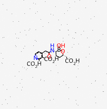 O=C(O)C[C@@H]1CC[C@H](NC(=O)Cc2ccnc(C(=O)O)c2C(=O)O)B(O)O1